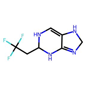 FC(F)(F)CC1NC=C2NCN=C2N1